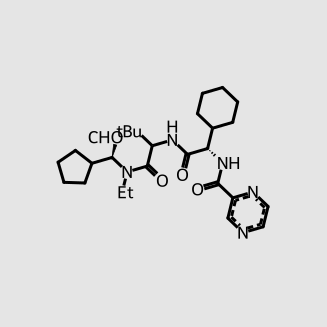 CCN(C(=O)C(NC(=O)[C@@H](NC(=O)c1cnccn1)C1CCCCC1)C(C)(C)C)[C@H](C=O)C1CCCC1